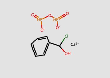 O=[PH]([O-])O[PH](=O)[O-].OC(Cl)c1ccccc1.[Ca+2]